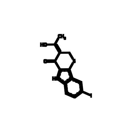 C/C(O)=C1\CSc2c([nH]c3ccc(I)cc23)C1=O